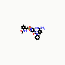 CC(=O)Nc1ccccc1CCS(=O)(=O)N1CCC(NC(=O)N(c2cccc(C(=N)N)c2)C2CCCCCC2)CC1